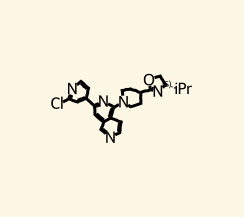 CC(C)[C@H]1COC(C2CCN(c3nc(-c4ccnc(Cl)c4)cc4cnccc34)CC2)=N1